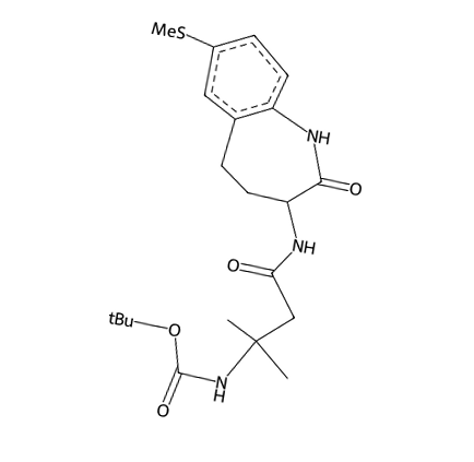 CSc1ccc2c(c1)CCC(NC(=O)CC(C)(C)NC(=O)OC(C)(C)C)C(=O)N2